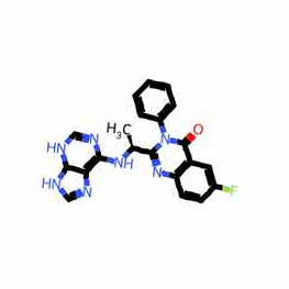 C[C@H](NC1=C2N=CNC2NC=N1)c1nc2ccc(F)cc2c(=O)n1-c1ccccc1